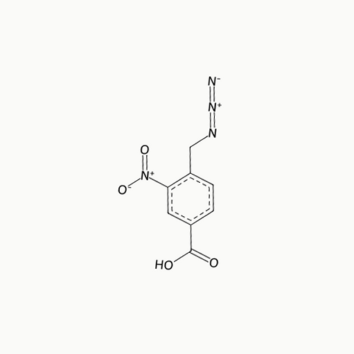 [N-]=[N+]=NCc1ccc(C(=O)O)cc1[N+](=O)[O-]